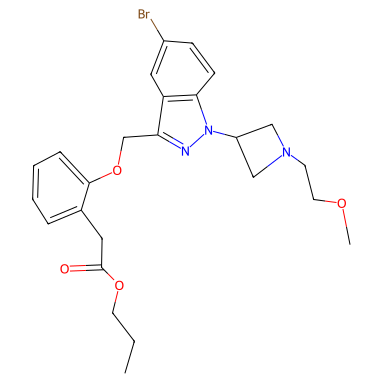 CCCOC(=O)Cc1ccccc1OCc1nn(C2CN(CCOC)C2)c2ccc(Br)cc12